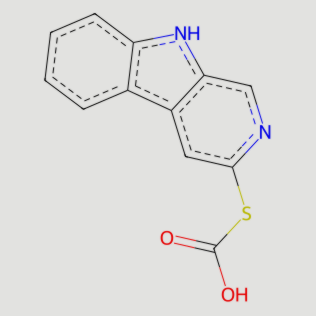 O=C(O)Sc1cc2c(cn1)[nH]c1ccccc12